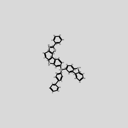 c1ccc(-c2ccc(N(c3ccc4c(c3)oc3ccc5nc(-c6ccccc6)oc5c34)c3ccc4sc5ccccc5c4c3)cc2)cc1